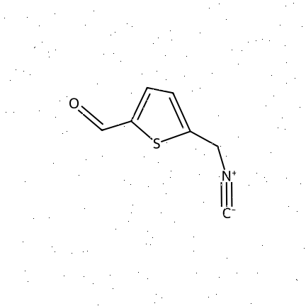 [C-]#[N+]Cc1ccc(C=O)s1